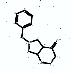 O=C1CCSC2CN(Cc3ccccc3)CC12